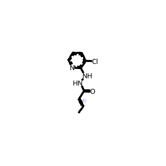 C/C=C/C(=O)NNc1ncccc1Cl